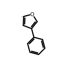 [c]1cc(-c2ccccc2)co1